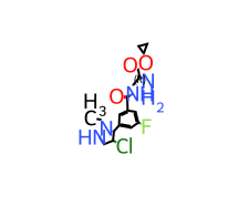 CCN1NCC(Cl)C1c1cc(F)cc(C(=O)NC[C@@H](N)C(=O)OC2CC2)c1